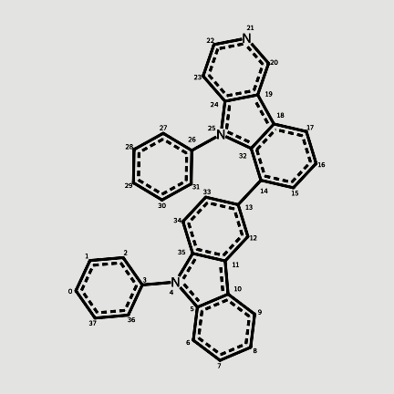 c1ccc(-n2c3ccccc3c3cc(-c4cccc5c6cnccc6n(-c6ccccc6)c45)ccc32)cc1